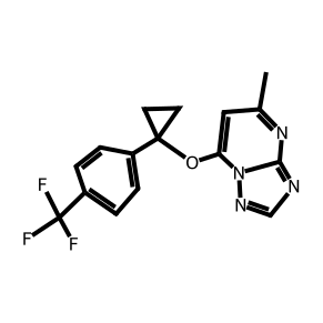 Cc1cc(OC2(c3ccc(C(F)(F)F)cc3)CC2)n2ncnc2n1